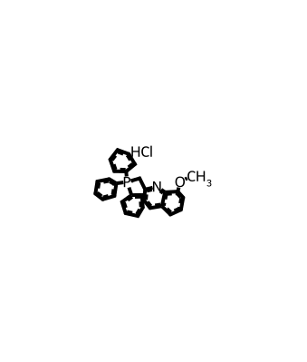 COc1cccc2ccc(C[P](c3ccccc3)(c3ccccc3)c3ccccc3)nc12.Cl